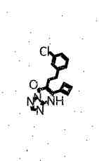 O=c1c(CCc2cccc(Cl)c2)c(C2=CC=C2)[nH]c2ncnn12